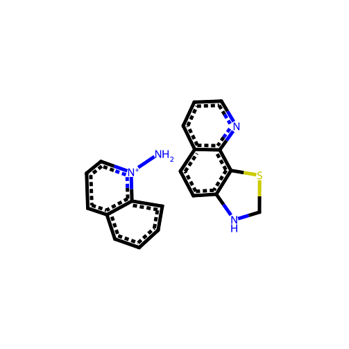 N[n+]1cccc2ccccc21.c1cnc2c3c(ccc2c1)NCS3